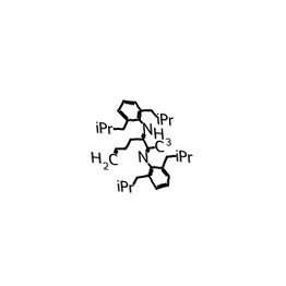 C=CCCC(=N\c1c(CC(C)C)cccc1CC(C)C)/C(C)=N/c1c(CC(C)C)cccc1CC(C)C